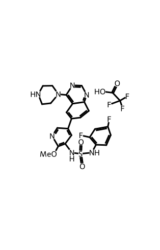 COc1ncc(-c2ccc3ncnc(N4CCNCC4)c3c2)cc1NS(=O)(=O)Nc1ccc(F)cc1F.O=C(O)C(F)(F)F